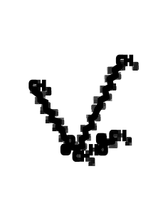 C=C(CCCCCCCCCCCCCCCCCC)C(=O)OCCCCCCCCCCCC.C=CC(=O)O